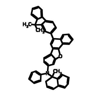 CC1(C)c2ccccc2-c2ccc(-c3cc4c5ccc(N(c6ccccc6)C6(C)CC=Cc7ccccc76)cc5oc4c4ccccc34)cc21